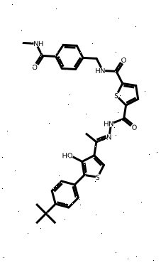 CNC(=O)c1ccc(CNC(=O)c2ccc(C(=O)N/N=C(\C)c3csc(-c4ccc(C(C)(C)C)cc4)c3O)s2)cc1